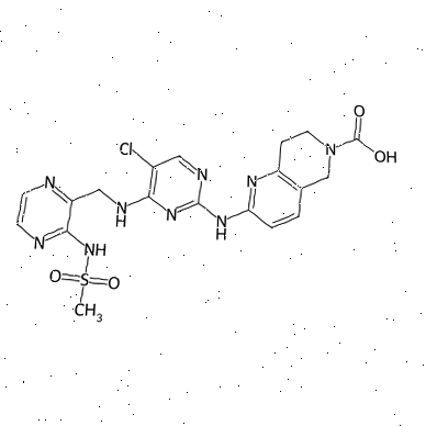 CS(=O)(=O)Nc1nccnc1CNc1nc(Nc2ccc3c(n2)CCN(C(=O)O)C3)ncc1Cl